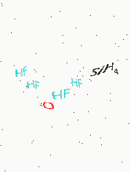 F.F.F.F.[O].[SiH4]